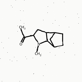 CC(=O)C1CC2C3CCC(C3)C2N1C